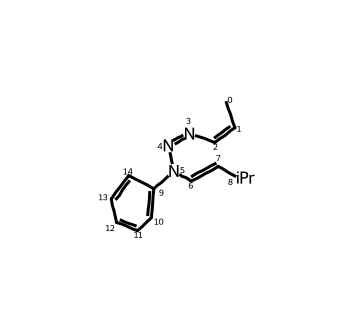 C/C=C\N=N/N(/C=C/C(C)C)c1ccccc1